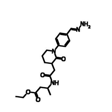 CCOC(=O)CC(C)NC(=O)CC1CCCN(c2ccc(C=NN)cc2)C1=O